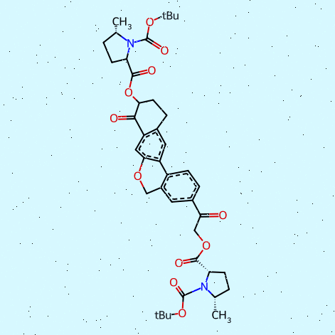 C[C@H]1CCC(C(=O)OC2CCc3cc4c(cc3C2=O)OCc2cc(C(=O)COC(=O)[C@@H]3CC[C@H](C)N3C(=O)OC(C)(C)C)ccc2-4)N1C(=O)OC(C)(C)C